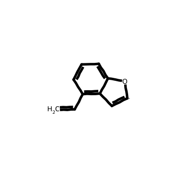 C=Cc1cccc2o[c]cc12